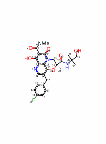 CNC(=O)c1c(O)c2ncc(Cc3ccc(F)cc3)c3c2n(c1=O)C[C@@](C)(C(=O)NC(C)(C)CO)O3